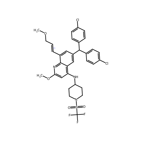 COC/C=C/c1cc(C(c2ccc(Cl)cc2)c2ccc(Cl)cc2)cc2c(NC3CCN(S(=O)(=O)C(F)(F)F)CC3)cc(OC)nc12